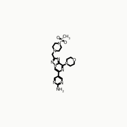 CS(=O)(=O)N1CCN(Cc2nc3c(N4CCOCC4)nc(-c4cnc(N)nc4)cn3n2)CC1